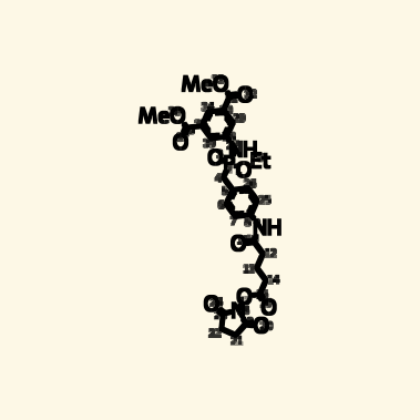 CCOP(=O)(Cc1ccc(NC(=O)CCCC(=O)ON2C(=O)CCC2=O)cc1)Nc1cc(C(=O)OC)cc(C(=O)OC)c1